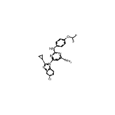 Nc1cc(-n2c(C3CC3)nc3cc(Cl)ccc32)nc(Nc2ccc(OC(F)F)cc2)n1